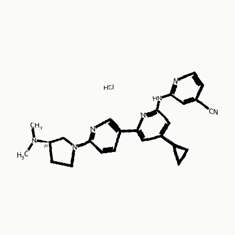 CN(C)[C@@H]1CCN(c2ccc(-c3cc(C4CC4)cc(Nc4cc(C#N)ccn4)n3)cn2)C1.Cl